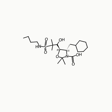 CCCCNS(=O)(=O)C(C)(C)C(O)[C@@H]1OC(C)(C)N(C(=O)O)[C@H]1CC1CCCCC1